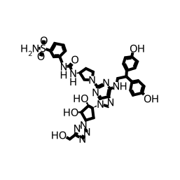 NS(=O)(=O)c1cccc(NC(=O)N[C@@H]2CCN(c3nc(NCC(c4ccc(O)cc4)c4ccc(O)cc4)c4ncn([C@@H]5C[C@H](n6nnc(CO)n6)[C@@H](O)[C@H]5O)c4n3)C2)c1